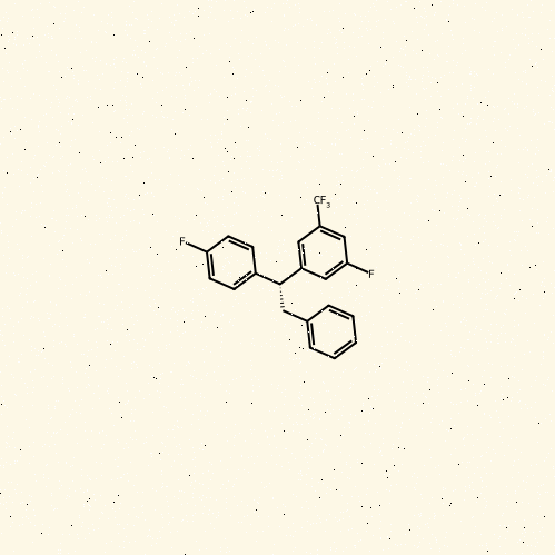 Fc1ccc([C@@H](Cc2ccccc2)c2cc(F)cc(C(F)(F)F)c2)cc1